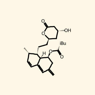 C=C1C=C2C=C[C@H](C)[C@H](CC[C@@H]3C[C@@H](O)CC(=O)O3)[C@H]2[C@@H](OC(=O)[C@@H](C)CC)C1